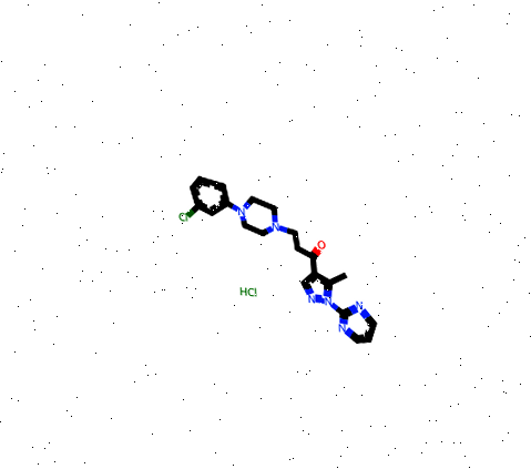 Cc1c(C(=O)CCN2CCN(c3cccc(Cl)c3)CC2)cnn1-c1ncccn1.Cl